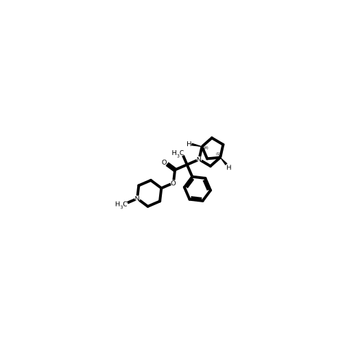 CN1CCC(OC(=O)C(C)(c2ccccc2)N2C[C@H]3CC[C@@H]2C3)CC1